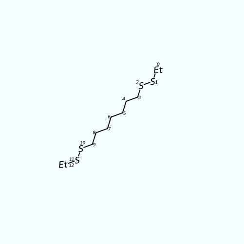 CCSSCCCCCCCSSCC